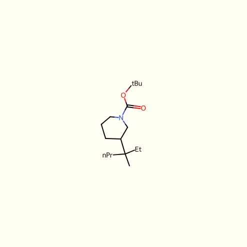 CCCC(C)(CC)C1CCCN(C(=O)OC(C)(C)C)C1